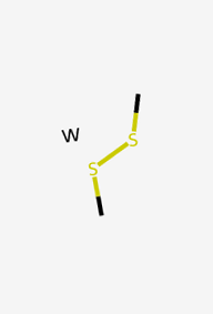 CSSC.[W]